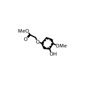 COC(=O)COc1ccc(OC)c(O)c1